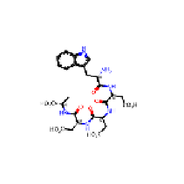 C[C@H](NC(=O)[C@H](CC(=O)O)NC(=O)[C@H](CC(=O)O)NC(=O)[C@H](CC(=O)O)NC(=O)[C@@H](N)Cc1c[nH]c2ccccc12)C(=O)O